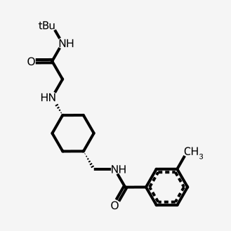 Cc1cccc(C(=O)NC[C@H]2CC[C@@H](NCC(=O)NC(C)(C)C)CC2)c1